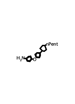 CCCCCC1CCC(c2ccc(Oc3ccc(N)cc3)cc2)CC1